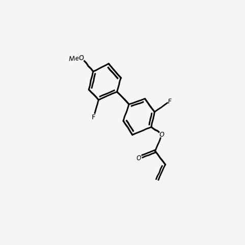 C=CC(=O)Oc1ccc(-c2ccc(OC)cc2F)cc1F